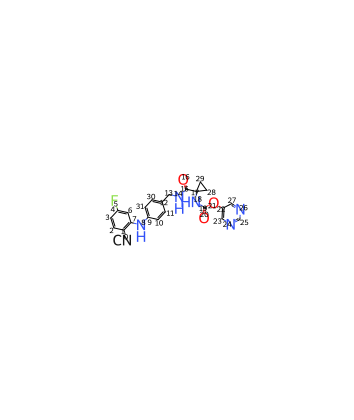 N#Cc1ccc(F)cc1Nc1ccc(CNC(=O)C2(NC(=O)Oc3cncnc3)CC2)cc1